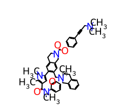 Cc1c(C(=O)N(C)c2ccccc2)cc(-c2cc3c(cc2C(=O)N2Cc4ccccc4C[C@H]2C)CN(C(=O)Oc2ccc(C#CCN(C)C)cc2)CC3)n1C